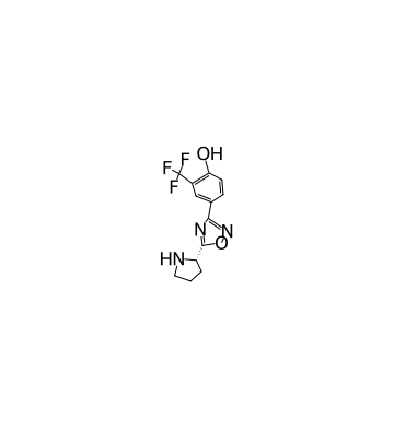 Oc1ccc(-c2noc([C@@H]3CCCN3)n2)cc1C(F)(F)F